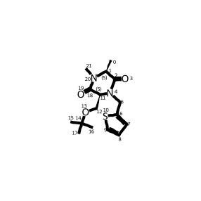 C[C@H]1C(=O)N(Cc2cccs2)[C@@H](COC(C)(C)C)C(=O)N1C